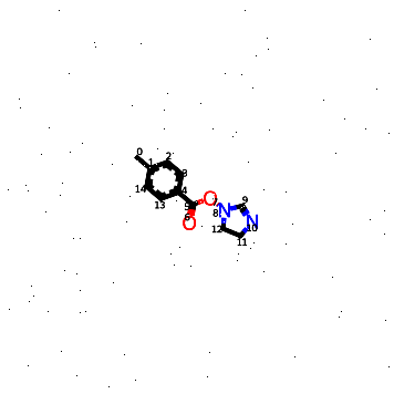 Cc1ccc(C(=O)ON2C=NCC2)cc1